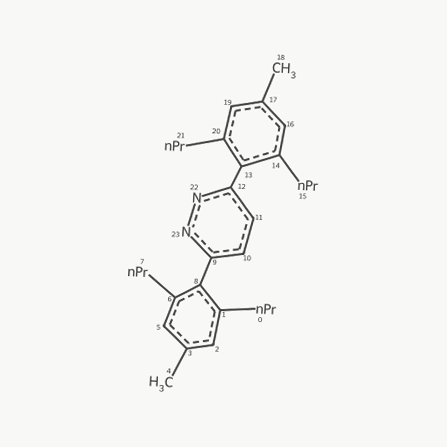 CCCc1cc(C)cc(CCC)c1-c1ccc(-c2c(CCC)cc(C)cc2CCC)nn1